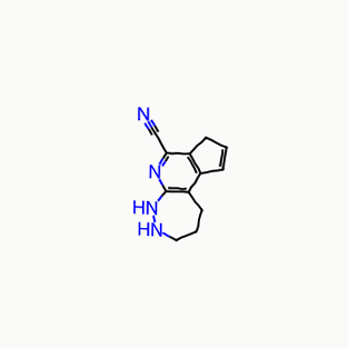 N#Cc1nc2c(c3c1CC=C3)CCCNN2